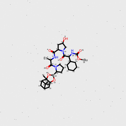 CCC(NC(=O)C1CC(O)CN1C(=O)C(NC(=O)OC(C)(C)C)C1CCCCC1)C(=O)N1CCCC1B1OC2CC3CC(C3(C)C)C2(C)O1